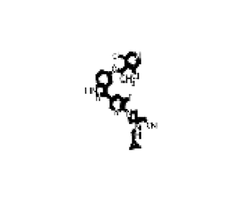 C[C@@H](Oc1ccc2[nH]nc(-c3cnc(N4CC(CC#N)(NCC5CC5)C4)c(F)c3)c2c1)c1c(Cl)cncc1Cl